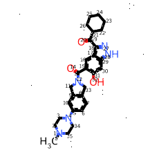 CN1CCN(c2ccc3c(c2)CN(C(=O)c2cc4c(C(=O)C5CCCCC5)n[nH]c4cc2O)C3)CC1